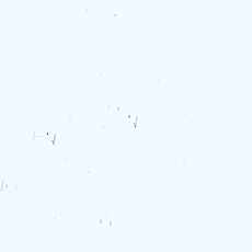 CC(C(=O)NC1CC(=O)OC1O)C1CC=CCC(C(=O)c2nccc3ccccc23)C1=O